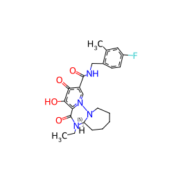 CCN1C(=O)c2c(O)c(=O)c(C(=O)NCc3ccc(F)cc3C)cn2N2CCCCC[C@@H]12